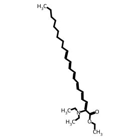 CCCCCCCCCC=CC=CC=CC=CC=CC=C(C(=O)OCC)N(CC)CC